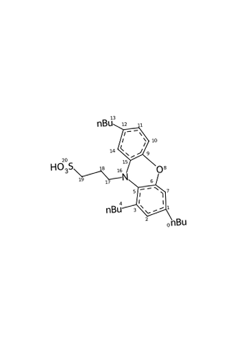 CCCCc1cc(CCCC)c2c(c1)Oc1ccc(CCCC)cc1N2CCCS(=O)(=O)O